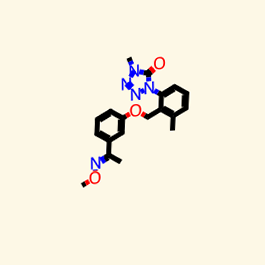 CO/N=C(\C)c1cccc(OCc2c(C)cccc2-n2nnn(C)c2=O)c1